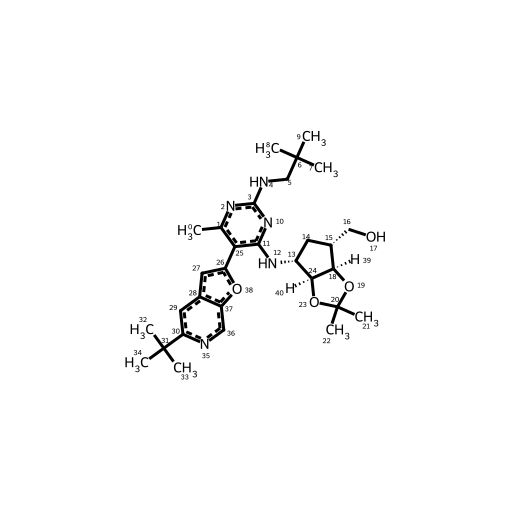 Cc1nc(NCC(C)(C)C)nc(N[C@@H]2C[C@H](CO)[C@H]3OC(C)(C)O[C@H]32)c1-c1cc2cc(C(C)(C)C)ncc2o1